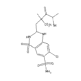 CC(S)C(=O)[N+](C)(CC1Nc2cc(Cl)c(S(N)(=O)=O)cc2S(=O)(=O)N1)C(=O)O